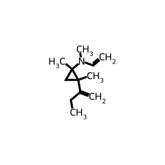 C=CN(C)C1(C)CC1(C)C(=C)CC